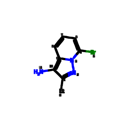 CCc1nn2c(Br)cccc2c1N